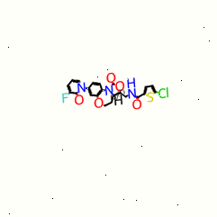 O=C(NC[C@@H]1OC(=O)N2c3ccc(-n4cccc(F)c4=O)cc3OCC[C@@H]12)c1ccc(Cl)s1